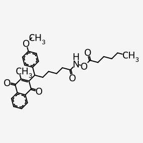 CCCCCC(=O)ONC(=O)CCCCC(C1=C(C)C(=O)c2ccccc2C1=O)c1ccc(OC)cc1